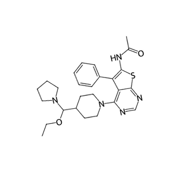 CCOC(C1CCN(c2ncnc3sc(NC(C)=O)c(-c4ccccc4)c23)CC1)N1CCCC1